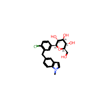 Cn1ccc2cc(Cc3cc([C@@H]4O[C@H](CO)[C@@H](O)[C@H](O)[C@H]4O)ccc3Cl)ccc21